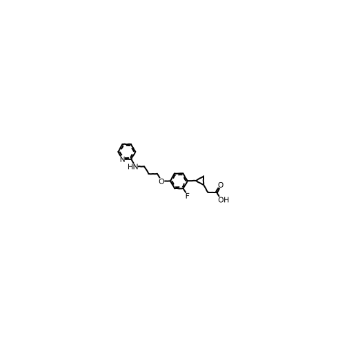 O=C(O)CC1CC1c1ccc(OCCCNc2ccccn2)cc1F